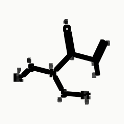 C=C(C)C(=O)N(SCC)SCC